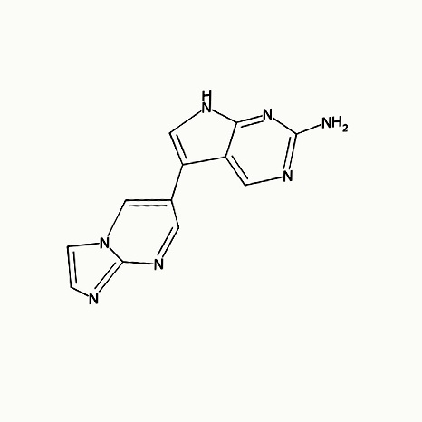 Nc1ncc2c(-c3cnc4nccn4c3)c[nH]c2n1